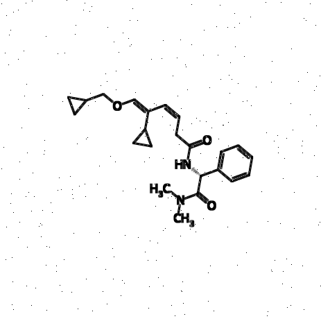 CN(C)C(=O)[C@H](NC(=O)C/C=C\C(=C\OCC1CC1)C1CC1)c1ccccc1